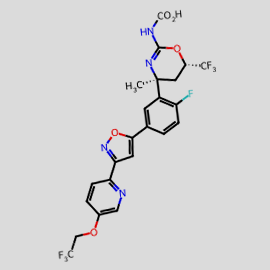 C[C@@]1(c2cc(-c3cc(-c4ccc(OCC(F)(F)F)cn4)no3)ccc2F)C[C@@H](C(F)(F)F)OC(NC(=O)O)=N1